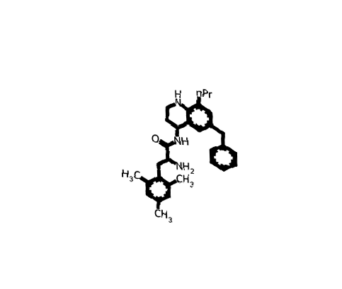 CCCc1cc(Cc2ccccc2)cc2c1NCCC2NC(=O)C(N)Cc1c(C)cc(C)cc1C